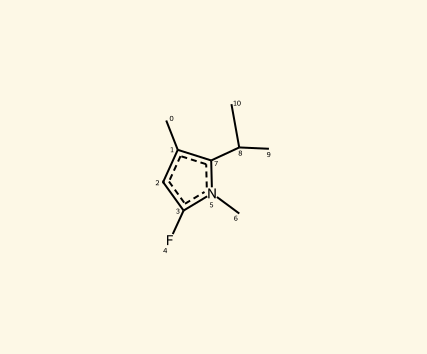 Cc1cc(F)n(C)c1C(C)C